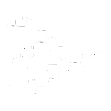 CCOC(=O)C(C)OC(=O)c1cc(Oc2ccc(C(F)(F)F)cc2Cl)ccc1[N+](=O)[O-].C[S+](C)C.Cc1nn(-c2cc(CC(Cl)C(=O)O)c(Cl)cc2F)c(=O)n1C(F)F.O=C(O)CNCP(=O)([O-])O